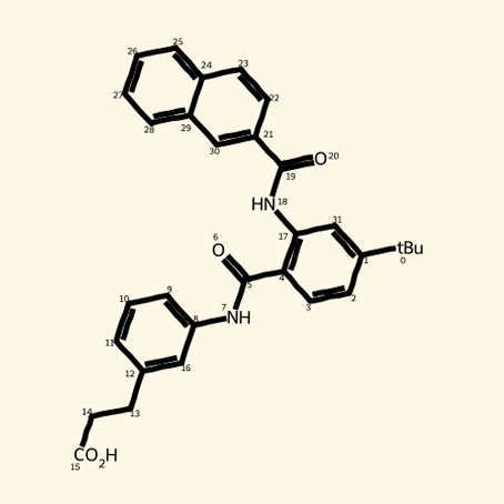 CC(C)(C)c1ccc(C(=O)Nc2cccc(CCC(=O)O)c2)c(NC(=O)c2ccc3ccccc3c2)c1